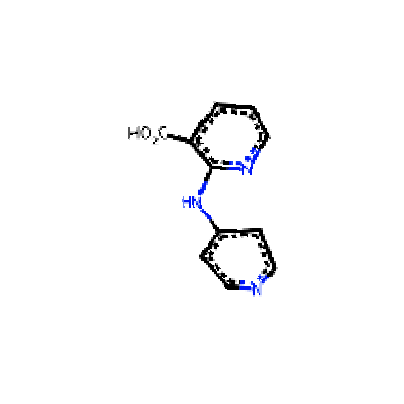 O=C(O)c1cccnc1Nc1ccncc1